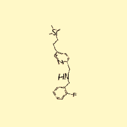 C[Si](C)(C)CCc1ccc(CNCc2ccccc2F)nc1